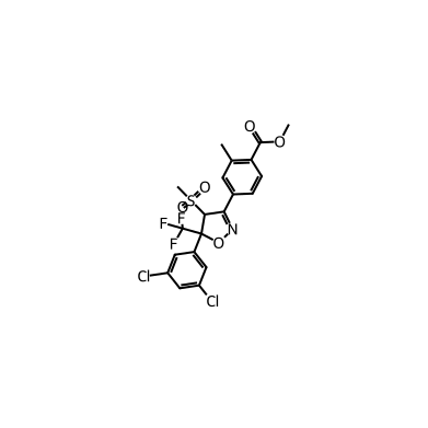 COC(=O)c1ccc(C2=NOC(c3cc(Cl)cc(Cl)c3)(C(F)(F)F)C2S(C)(=O)=O)cc1C